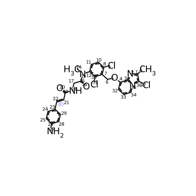 Cc1nc2c(OCc3c(Cl)ccc(N(C)C(=O)CNC(=O)/C=C/c4ccc(N)cc4)c3Cl)cccn2c1Cl